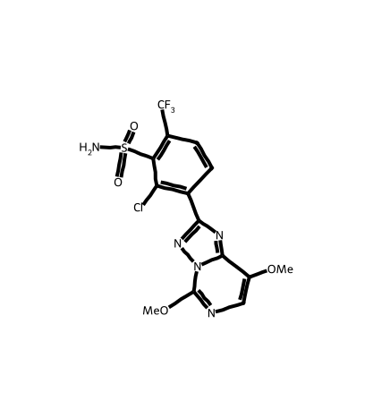 COc1cnc(OC)n2nc(-c3ccc(C(F)(F)F)c(S(N)(=O)=O)c3Cl)nc12